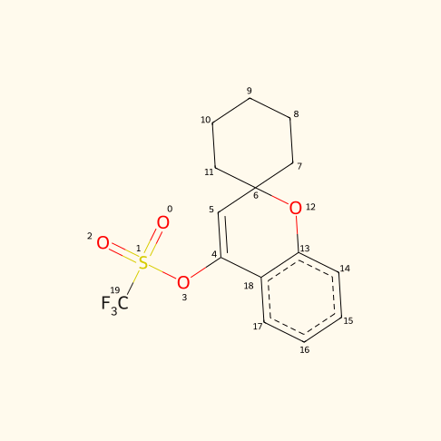 O=S(=O)(OC1=CC2(CCCCC2)Oc2ccccc21)C(F)(F)F